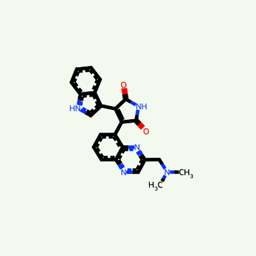 CN(C)Cc1cnc2cccc(C3=C(c4c[nH]c5ccccc45)C(=O)NC3=O)c2n1